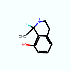 O=CC1(F)NCCc2cccc(O)c21